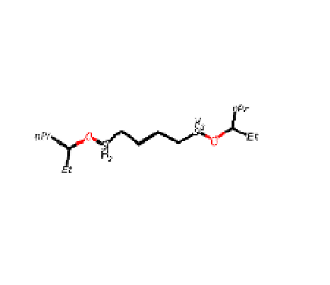 CCCC(CC)O[SiH2]CCCC[SiH2]OC(CC)CCC